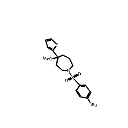 COC1(c2cccs2)CCCN(S(=O)(=O)c2ccc(C(C)(C)C)cc2)CC1